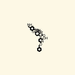 [2H]C1(Nc2ccc(CN)cc2)CC=C2N(c3ccc(OCc4ccccc4)nc3O)C(=O)N(C)C2([2H])C1([2H])[2H]